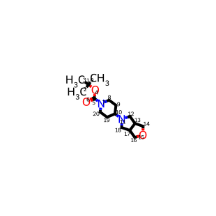 CC(C)(C)OC(=O)N1CCC(N2CC3COCC3C2)CC1